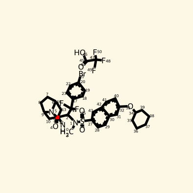 CN(C(C(=O)N1C2CCC1CC(N)C2)C(F)(F)c1ccc(Br)cc1)S(=O)(=O)c1ccc2cc(OC3CCCCC3)ccc2c1.O=C(O)C(F)(F)F